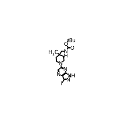 CC1(CNC(=O)OC(C)(C)C)CCN(c2cnc3c(I)n[nH]c3n2)CC1